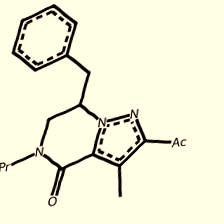 CC(=O)c1nn2c(c1C)C(=O)N(C(C)C)CC2Cc1ccccc1